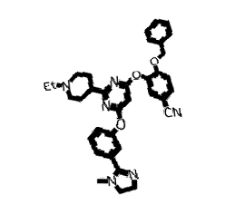 CCN1CCC(c2nc(Oc3cccc(C4=NCCN4C)c3)cc(Oc3cc(C#N)ccc3OCc3ccccc3)n2)CC1